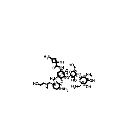 NC[C@@H]1O[C@H](O[C@H]2[C@@H](O)[C@H](O[C@@H]3[C@@H](O)[C@H](NC(=O)C4(O)CC(N)C4)C[C@H](N)[C@H]3O[C@H]3O[C@H](CNCCO)CC[C@H]3N)O[C@@H]2CO)[C@H](N)[C@@H](O)[C@@H]1O